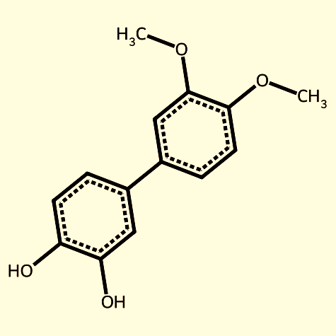 COc1ccc(-c2ccc(O)c(O)c2)cc1OC